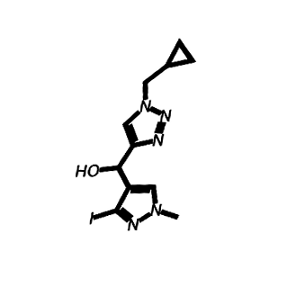 Cn1cc(C(O)c2cn(CC3CC3)nn2)c(I)n1